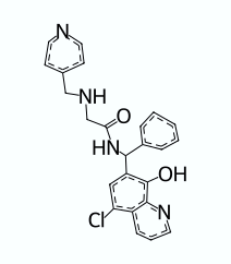 O=C(CNCc1ccncc1)NC(c1ccccc1)c1cc(Cl)c2cccnc2c1O